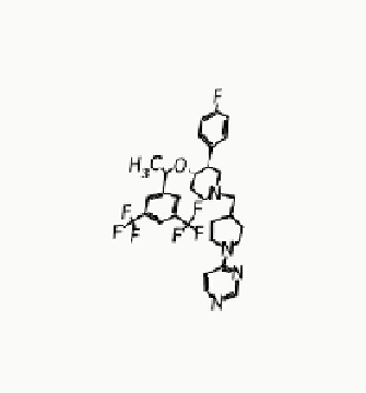 C[C@@H](O[C@H]1CCN(CC2CCN(c3ccncn3)CC2)C[C@@H]1c1ccc(F)cc1)c1cc(C(F)(F)F)cc(C(F)(F)F)c1